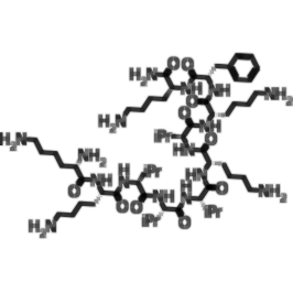 CC(C)[C@H](NC(=O)[C@H](CCCCN)NC(=O)[C@@H](NC(=O)[C@@H](NC(=O)[C@@H](NC(=O)[C@H](CCCCN)NC(=O)[C@@H](N)CCCCN)C(C)C)C(C)C)C(C)C)C(=O)N[C@@H](CCCCN)C(=O)N[C@@H](Cc1ccccc1)C(=O)N[C@@H](CCCCN)C(N)=O